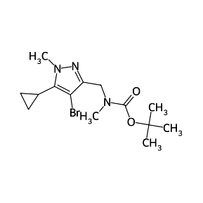 CN(Cc1nn(C)c(C2CC2)c1Br)C(=O)OC(C)(C)C